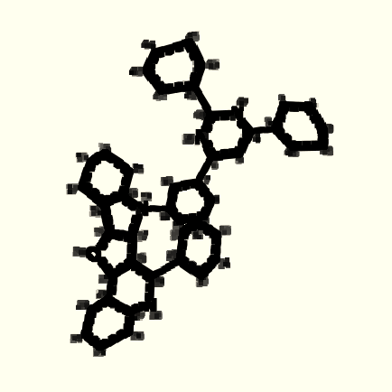 c1ccc(-c2cc(-c3cccc(-n4c5ccccc5c5oc6c7ccccc7nc(-c7ccccc7)c6c54)c3)nc(-c3ccccc3)n2)cc1